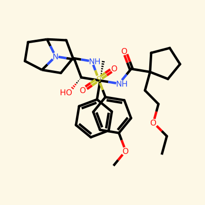 CCOCCC1(C(=O)N[C@@](C)(c2ccccc2)[C@H](O)CN2C3CCC2CC(NS(=O)(=O)c2ccc(OC)cc2)C3)CCCC1